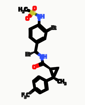 CCc1cc([C@@H](CC)NC(=O)[C@H]2C[C@]2(C)c2ccc(C(F)(F)F)cc2)ccc1NS(C)(=O)=O